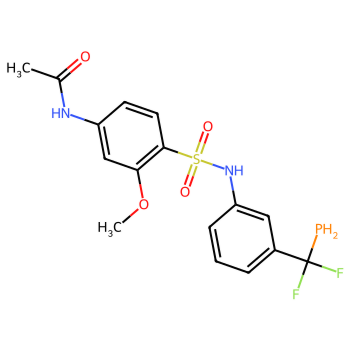 COc1cc(NC(C)=O)ccc1S(=O)(=O)Nc1cccc(C(F)(F)P)c1